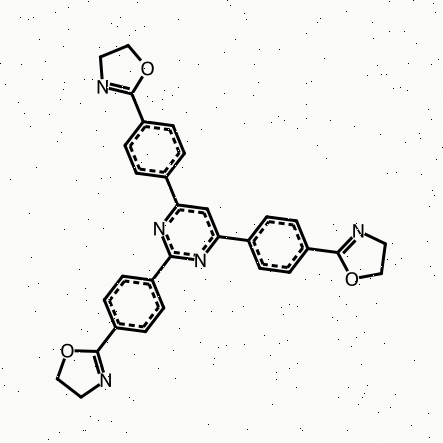 c1cc(-c2cc(-c3ccc(C4=NCCO4)cc3)nc(-c3ccc(C4=NCCO4)cc3)n2)ccc1C1=NCCO1